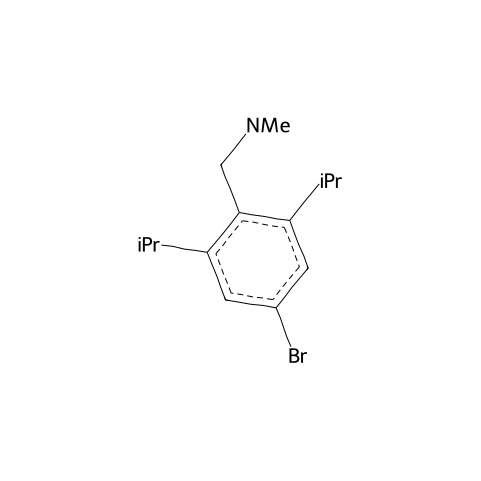 CNCc1c(C(C)C)cc(Br)cc1C(C)C